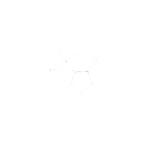 CC(C)([C]=O)N1CCCC1=O